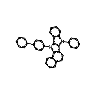 c1ccc(-c2ccc(-n3c4c5ccccc5ccc4c4c3c3ccccc3n4-c3ccccc3)cc2)cc1